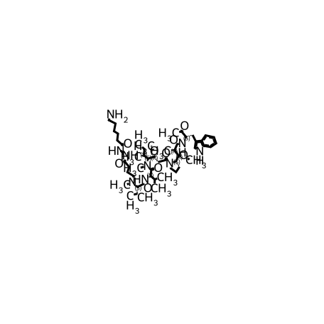 CC[C@H](C)[C@@H]([C@@H](CC(=O)N1CCC[C@H]1[C@H](OC)[C@@H](C)C(=O)N[C@@H](Cc1c[nH]c2ccccc12)C(C)=O)OC)N(C)C(=O)[C@@H](NC(=O)[C@H](C(C)C)N(C)CCCC(=O)NNC(=O)CCCCCN)C(C)C